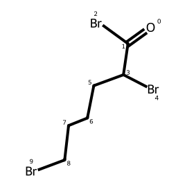 O=C(Br)C(Br)CCCCBr